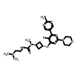 CN(C)CCNC(=O)N(C)[C@H]1C[C@H](Oc2nc(N3CCOCC3)nc(-c3cnc(N)nc3)c2F)C1